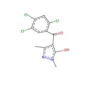 Cc1nn(C)c(O)c1C(=O)c1cc(Cl)c(Cl)cc1Cl